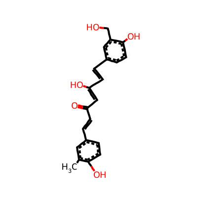 Cc1cc(/C=C/C(=O)/C=C(O)/C=C/c2ccc(O)c(CO)c2)ccc1O